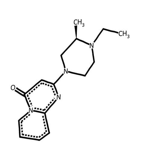 CCN1CCN(c2cc(=O)n3ccccc3n2)C[C@H]1C